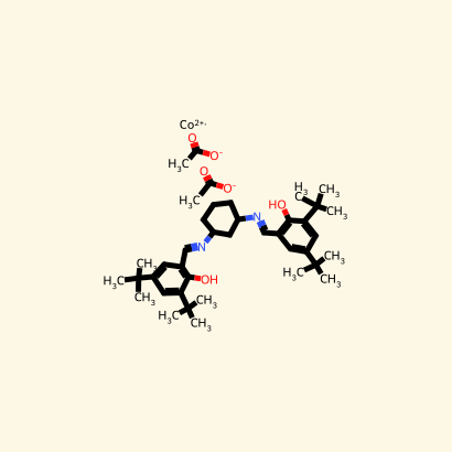 CC(=O)[O-].CC(=O)[O-].CC(C)(C)c1cc(C=NC2CCCC(N=Cc3cc(C(C)(C)C)cc(C(C)(C)C)c3O)C2)c(O)c(C(C)(C)C)c1.[Co+2]